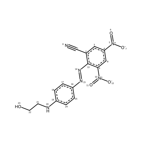 N#Cc1cc([N+](=O)[O-])cc([N+](=O)[O-])c1N=Nc1ccc(NCCO)cc1